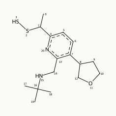 CC(SS)c1ccc(C2CCOC2)c(CNC(C)(C)C)n1